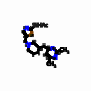 CC(=O)Nc1ncc(CN2CCCC(Cc3cc(C)nc(C)n3)C2)s1